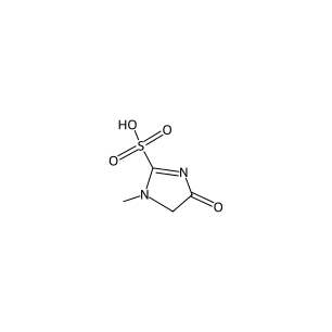 CN1CC(=O)N=C1S(=O)(=O)O